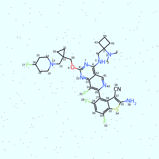 CN(C)C1(CNc2nc(OCC3(CN4CCC(F)CC4)CC3)nc3c(F)c(-c4c(F)cc(F)c5sc(N)c(C#N)c45)ncc23)CCC1